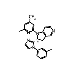 Cc1cccc(-n2ccnc2[C@H]2Cc3cnccc3N2c2cc(C(F)(F)F)cc(C)n2)c1